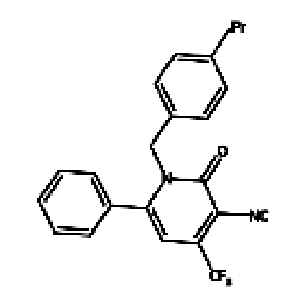 [C-]#[N+]c1c(C(F)(F)F)cc(-c2ccccc2)n(Cc2ccc(C(C)C)cc2)c1=O